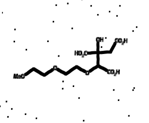 COCCOCCOC(C(=O)O)C(O)(CC(=O)O)C(=O)O